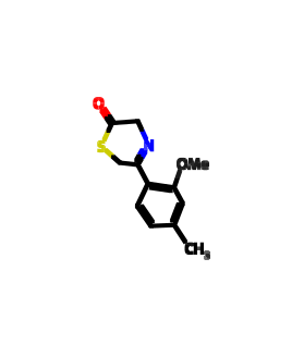 COc1cc(C)ccc1C1=NCC(=O)SC1